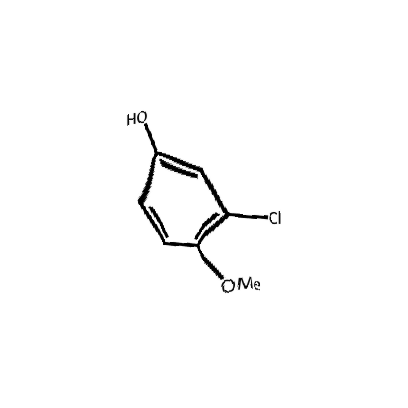 COc1ccc(O)cc1Cl